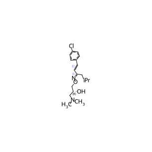 CC(C)CC(/C=C/c1ccc(Cl)cc1)=N\OC[C@H](O)CN(C)C